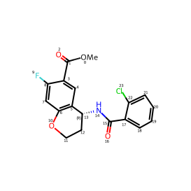 COC(=O)c1cc2c(cc1F)OCC[C@H]2NC(=O)c1ccccc1Cl